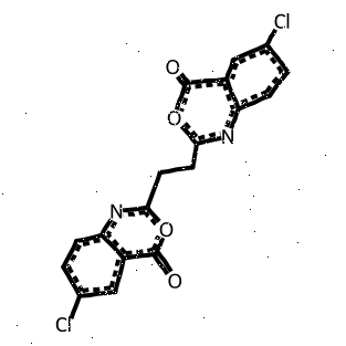 O=c1oc(CCc2nc3ccc(Cl)cc3c(=O)o2)nc2ccc(Cl)cc12